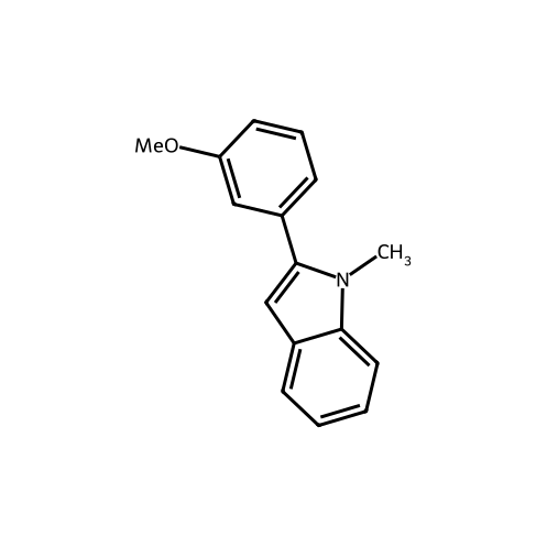 COc1cccc(-c2cc3ccccc3n2C)c1